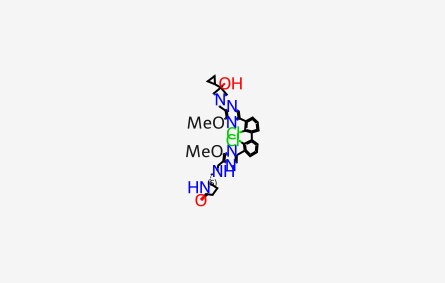 COc1nc(-c2cccc(-c3cccc(-c4cnc(CN5CC(O)(C6CC6)C5)c(OC)n4)c3Cl)c2Cl)cnc1CNC[C@@H]1CCC(=O)N1